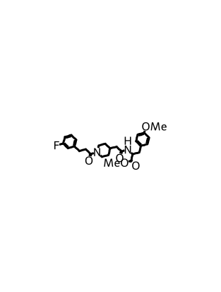 COC(=O)C(Cc1ccc(OC)cc1)NC(=O)CC1CCN(C(=O)CCc2cccc(F)c2)CC1